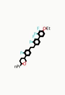 CCCC1CCC(c2ccc(CCc3ccc(-c4ccc(OCC)c(F)c4F)c(F)c3F)cc2F)CO1